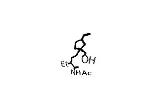 C=CC1CCC(CO)(CCC(CC)C(C)NC(C)=O)C1